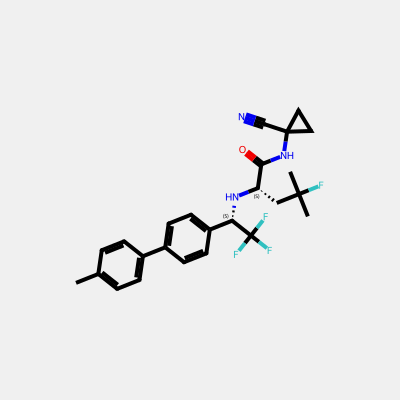 Cc1ccc(-c2ccc([C@H](N[C@@H](CC(C)(C)F)C(=O)NC3(C#N)CC3)C(F)(F)F)cc2)cc1